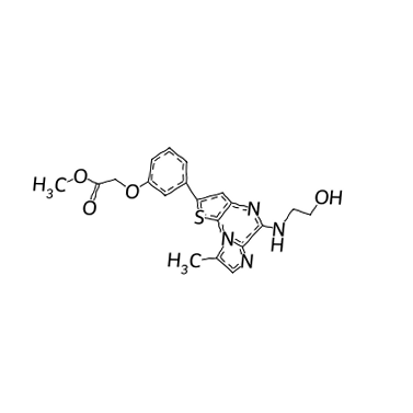 COC(=O)COc1cccc(-c2cc3nc(NCCO)c4ncc(C)n4c3s2)c1